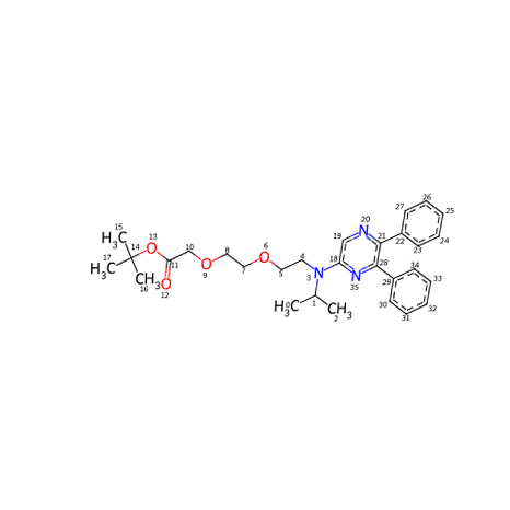 CC(C)N(CCOCCOCC(=O)OC(C)(C)C)c1cnc(-c2ccccc2)c(-c2ccccc2)n1